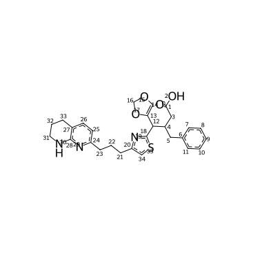 O=C(O)CC(Cc1ccccc1)C(C1=COCO1)c1nc(CCCc2ccc3c(n2)NCCC3)cs1